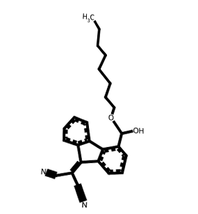 CCCCCCCCOC(O)c1cccc2c1-c1ccccc1C2=C(C#N)C#N